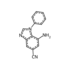 N#Cc1cc(N)c2c(c1)ncn2-c1ccccc1